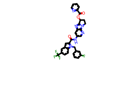 O=C(OC1CCn2c1nc1cc(NC(=O)c3cc4cc(C(F)(F)F)ccc4n3Cc3cccc(F)c3)cnc12)c1ccccn1